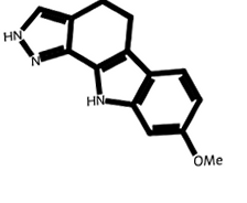 COc1ccc2c3c([nH]c2c1)-c1n[nH]cc1CC3